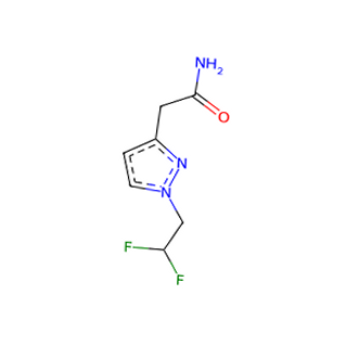 NC(=O)Cc1ccn(CC(F)F)n1